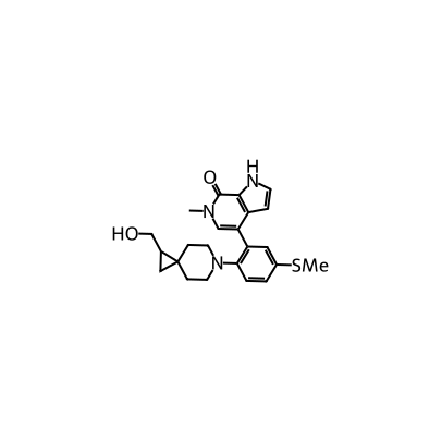 CSc1ccc(N2CCC3(CC2)CC3CO)c(-c2cn(C)c(=O)c3[nH]ccc23)c1